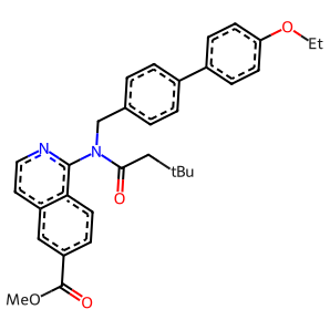 CCOc1ccc(-c2ccc(CN(C(=O)CC(C)(C)C)c3nccc4cc(C(=O)OC)ccc34)cc2)cc1